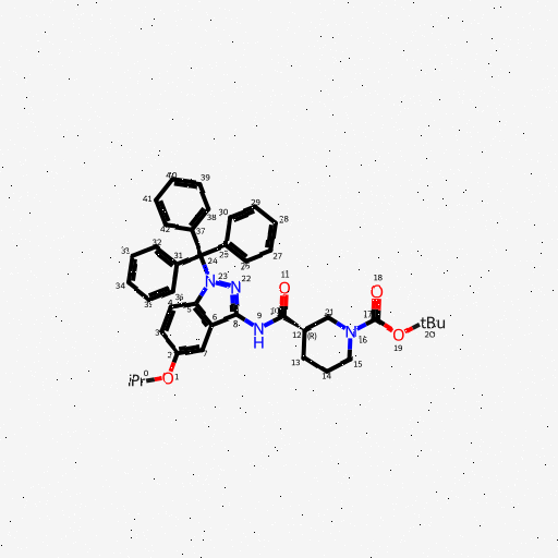 CC(C)Oc1ccc2c(c1)c(NC(=O)[C@@H]1CCCN(C(=O)OC(C)(C)C)C1)nn2C(c1ccccc1)(c1ccccc1)c1ccccc1